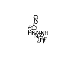 FC(F)(F)c1c[nH]c2nc(Nc3ccc(CON4CCCC4)c4c3OCC4)nc(C3CC3)c12